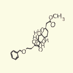 COC(=O)C[C@H]1CC[C@@H]2O[C@H]3C(=O)[C@@]4(CCOCc5ccccc5)O[C@@H]([C@H]2O1)[C@@H]3O4